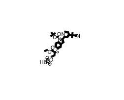 CCOC(=O)C(CCOS(=O)(=O)O)Sc1ccc2c(c1)cc(-c1cc(C(C)(C)C#N)ccn1)n2C(=O)OC(C)(C)C